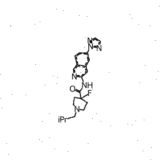 CC(C)CN1CCC(F)(C(=O)Nc2cc3cc(-n4nccn4)ccc3cn2)CC1